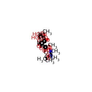 COc1cc([C@@H]2c3cc4c(cc3[C@@H](O[C@@H]3O[C@@H]5CO[C@@H](C)O[C@H]5[C@H](O)[C@H]3O)[C@H]3COC(=O)[C@H]23)OCO4)cc(OC)c1OC(=O)N(C)CCN(C)C(=O)OC(C)(C)C